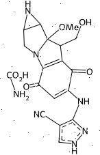 COC12C(CO)C3=C(C(=O)C=C(Nc4n[nH]cc4C#N)C3=O)N1CC1NC12.NC(=O)O